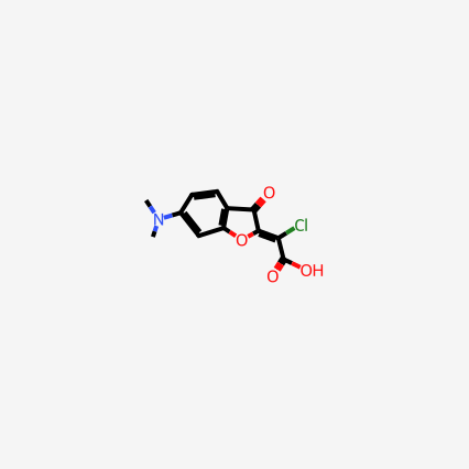 CN(C)c1ccc2c(c1)OC(=C(Cl)C(=O)O)C2=O